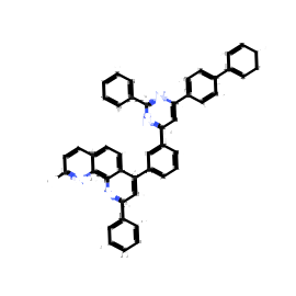 Cc1ccc2ccc3c(-c4cccc(-c5cc(-c6ccc(C7=CCCC=C7)cc6)nc(-c6ccccc6)n5)c4)cc(-c4ccccc4)nc3c2n1